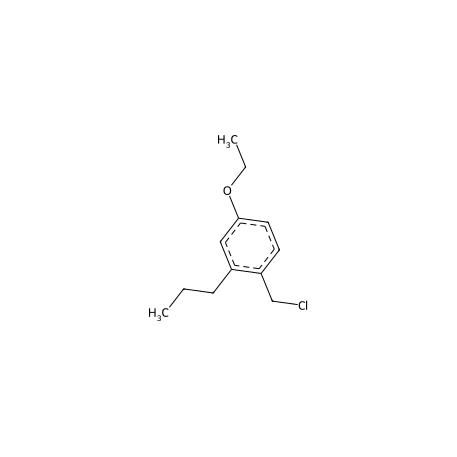 CCCc1cc(OCC)ccc1CCl